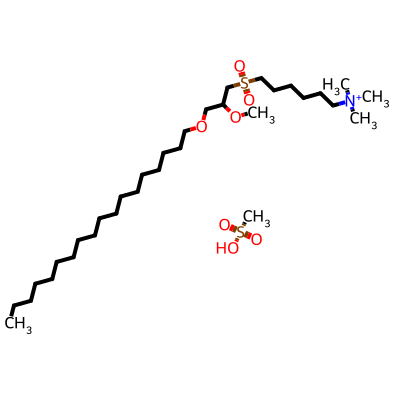 CCCCCCCCCCCCCCCCCCOCC(CS(=O)(=O)CCCCCC[N+](C)(C)C)OC.CS(=O)(=O)O